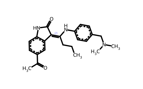 CCC/C(Nc1ccc(CN(C)C)cc1)=C1/C(=O)Nc2ccc(C(C)=O)cc21